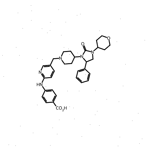 O=C(O)c1ccc(Nc2ccc(CN3CCC(N4C(=O)N(C5CCOCC5)CC4c4ccccc4)CC3)cn2)cc1